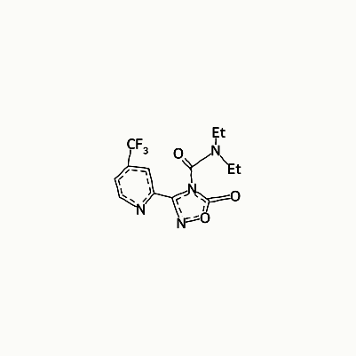 CCN(CC)C(=O)n1c(-c2cc(C(F)(F)F)ccn2)noc1=O